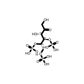 O=C(CO)[C@@H](O)[C@@H](OP(=O)(O)O)[C@H](COP(=O)(O)O)OP(=O)(O)O